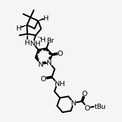 C[C@@H]1[C@H]2C[C@@H](C[C@H]1Nc1cnn(CC(=O)NCC3CCCN(C(=O)OC(C)(C)C)C3)c(=O)c1Br)C2(C)C